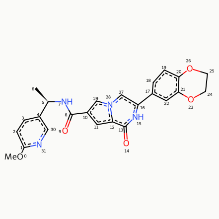 COc1ccc([C@@H](C)NC(=O)c2cc3c(=O)[nH]c(-c4ccc5c(c4)OCCO5)cn3c2)cn1